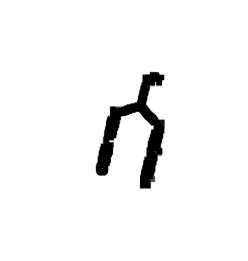 [CH2]CCC(N=C=O)N=[N+]=[N-]